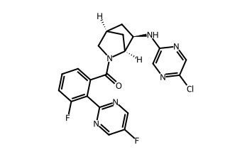 O=C(c1cccc(F)c1-c1ncc(F)cn1)N1C[C@H]2C[C@@H](Nc3cnc(Cl)cn3)[C@@H]1C2